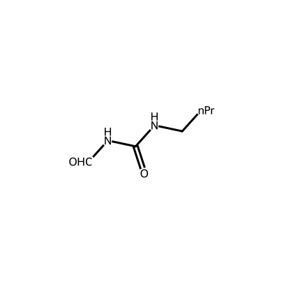 CCCCNC(=O)NC=O